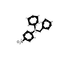 O=[N+]([O-])c1ccc(N(Cc2ccccc2)c2ccccc2)cc1